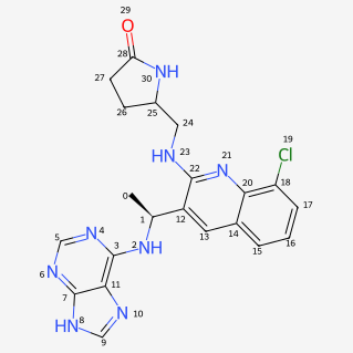 C[C@H](Nc1ncnc2[nH]cnc12)c1cc2cccc(Cl)c2nc1NCC1CCC(=O)N1